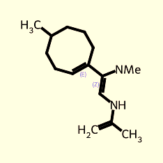 C=C(C)N/C=C(NC)/C1=C/CCC(C)CCC1